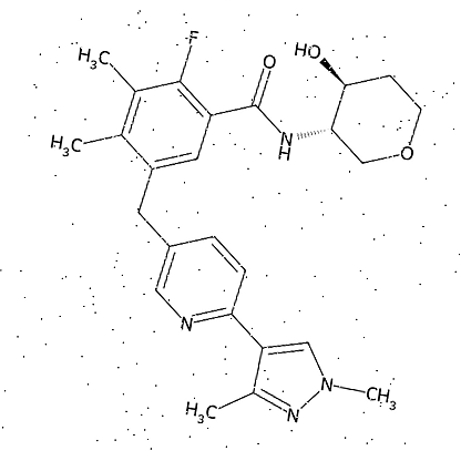 Cc1nn(C)cc1-c1ccc(Cc2cc(C(=O)N[C@H]3COCC[C@@H]3O)c(F)c(C)c2C)cn1